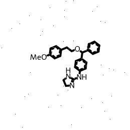 COc1ccc(CCOC(c2ccccc2)c2ccc(NC3=NCCN3)cc2)cc1